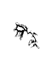 CN(CCc1c[nH]c2c(F)c(F)c(F)c(F)c12)CCS(C)(=O)=O